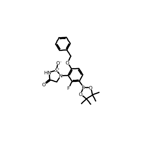 CC1(C)OB(c2ccc(OCc3ccccc3)c(N3CC(=O)N[S+]3[O-])c2F)OC1(C)C